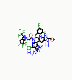 COCc1nc2nc([C@H](Cc3cc(F)cc(F)c3)NC(=O)Cn3nc(C(F)(F)F)c4c3C(F)(F)[C@H](C)[C@@H]4C)c(-c3ccc(Cl)c4c(N)nn(C)c34)cc2[nH]1